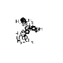 COc1c(CC(NC(=O)c2ccc3[nH]ccc3c2)B2OC3CC4CC(C4(C)C)C3(C)O2)cccc1C(=O)OC(C)(C)C